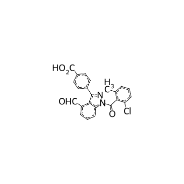 Cc1cccc(Cl)c1C(=O)n1nc(-c2ccc(C(=O)O)cc2)c2c(C=O)cccc21